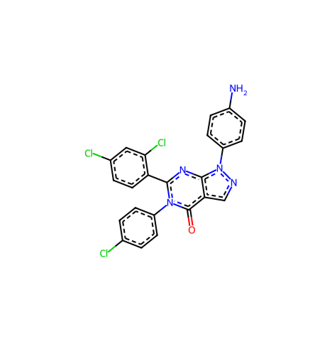 Nc1ccc(-n2ncc3c(=O)n(-c4ccc(Cl)cc4)c(-c4ccc(Cl)cc4Cl)nc32)cc1